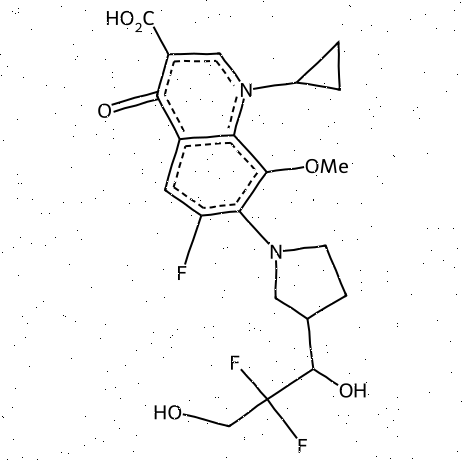 COc1c(N2CCC(C(O)C(F)(F)CO)C2)c(F)cc2c(=O)c(C(=O)O)cn(C3CC3)c12